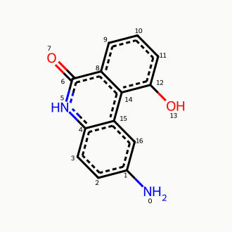 Nc1ccc2[nH]c(=O)c3cccc(O)c3c2c1